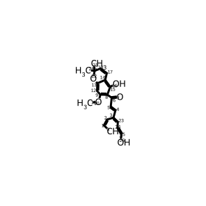 C\C=C/C(/C=C/C(=O)c1c(OC)cc2c(c1O)C=CC(C)(C)O2)=C\C=C\O